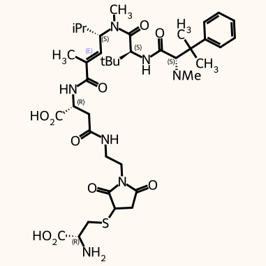 CN[C@H](C(=O)N[C@H](C(=O)N(C)[C@H](/C=C(\C)C(=O)N[C@H](CC(=O)NCCN1C(=O)CC(SC[C@H](N)C(=O)O)C1=O)C(=O)O)C(C)C)C(C)(C)C)C(C)(C)c1ccccc1